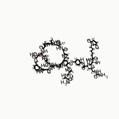 C=C(NC(=O)c1csc(-c2nc3c(cc2OCc2ccc(NC(=O)[C@H](CCCNC(N)=O)NC(=O)[C@@H](NC(=O)CCCCCN4C(=O)C=CC4=O)C(C)C)cc2)-c2nc(cs2)C(=O)N[C@@H]([C@@H](C)O)C(=O)N/C(=C\C)c2nc(cs2)C(=O)N[C@H]2C[C@H](O)C(=O)OCc4cccc5[nH]c(c(C)c45)C(=O)SC[C@H](NC(O)c4csc2n4)c2nc-3cs2)n1)C(N)=O